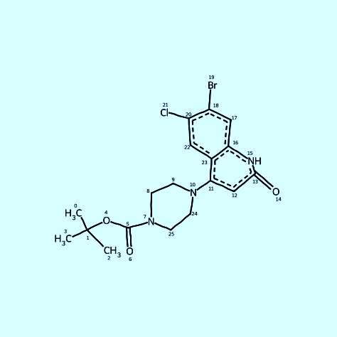 CC(C)(C)OC(=O)N1CCN(c2cc(=O)[nH]c3cc(Br)c(Cl)cc23)CC1